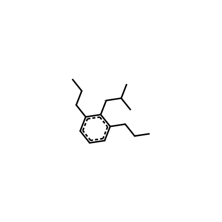 CCCc1cccc(CCC)c1[CH]C(C)C